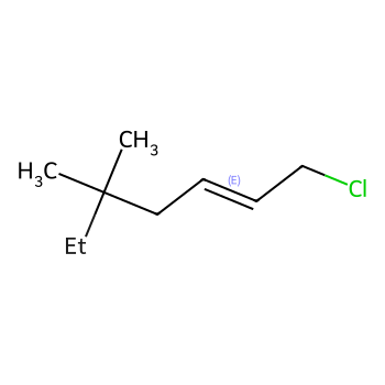 CCC(C)(C)C/C=C/CCl